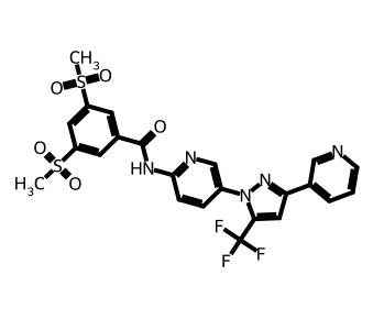 CS(=O)(=O)c1cc(C(=O)Nc2ccc(-n3nc(-c4cccnc4)cc3C(F)(F)F)cn2)cc(S(C)(=O)=O)c1